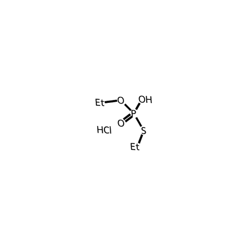 CCOP(=O)(O)SCC.Cl